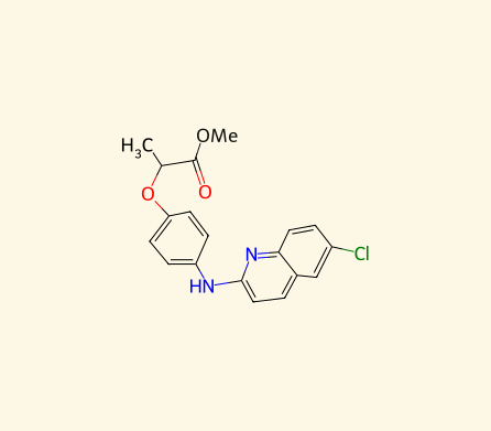 COC(=O)C(C)Oc1ccc(Nc2ccc3cc(Cl)ccc3n2)cc1